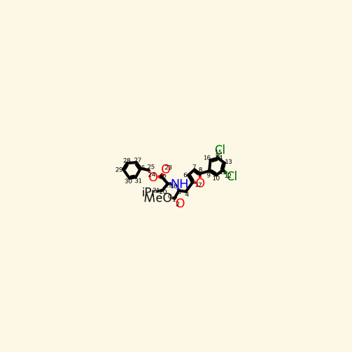 COC(=O)C(Cc1ccc(-c2cc(Cl)cc(Cl)c2)o1)NC(CC(C)C)C(=O)OCc1ccccc1